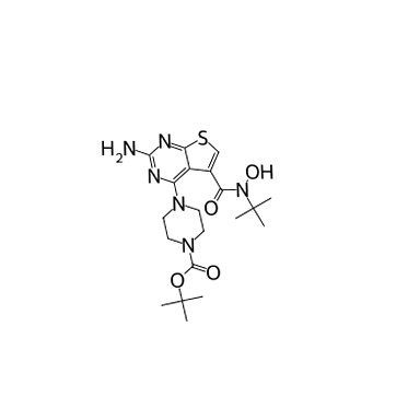 CC(C)(C)OC(=O)N1CCN(c2nc(N)nc3scc(C(=O)N(O)C(C)(C)C)c23)CC1